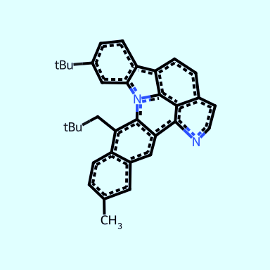 Cc1ccc2c(CC(C)(C)C)c3c(cc2c1)c1nccc2ccc4c5ccc(C(C)(C)C)cc5n3c4c21